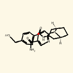 NC(=O)c1ccc(N2[C@@H]3CC[C@H]2C[C@@H](NC(=O)c2ccc(CO)cc2)C3)nc1